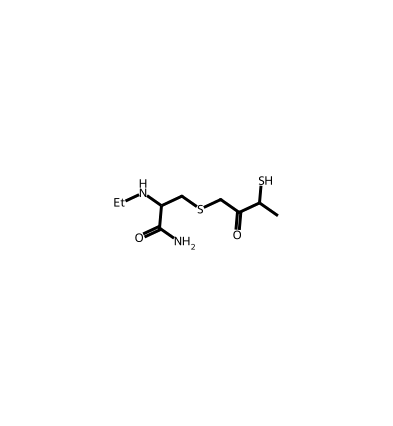 CCNC(CSCC(=O)C(C)S)C(N)=O